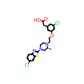 C[C@H]1CN(c2nc3ccc(Cl)cc3s2)CCN1CCOc1cc(Cl)cc(CC(=O)O)c1